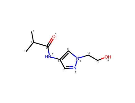 CC(C)C(=O)Nc1cnn(CCO)c1